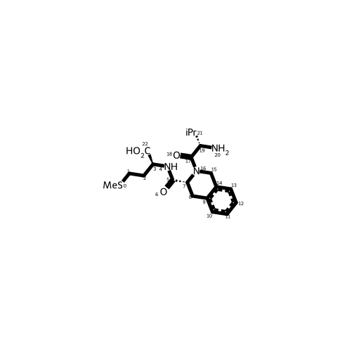 CSCC[C@H](NC(=O)[C@H]1Cc2ccccc2CN1C(=O)[C@@H](N)C(C)C)C(=O)O